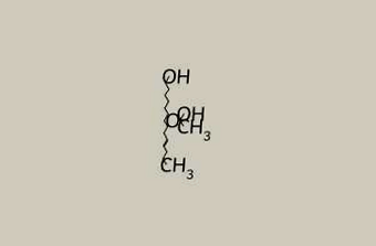 CC(=O)O.CCCC=CCCCCCCCCCO